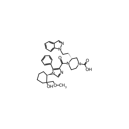 COC[C@]1(O)CCCC[C@H]1n1cnc(C(=O)N2CCN(C(=O)O)C[C@H]2CCn2ncc3ccccc32)c1-c1ccccc1